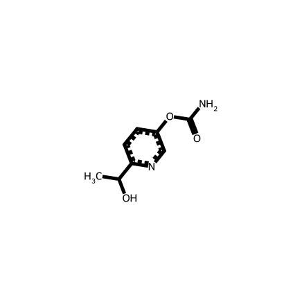 CC(O)c1ccc(OC(N)=O)cn1